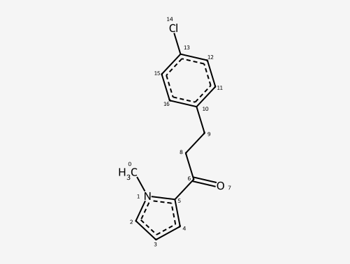 Cn1cccc1C(=O)CCc1ccc(Cl)cc1